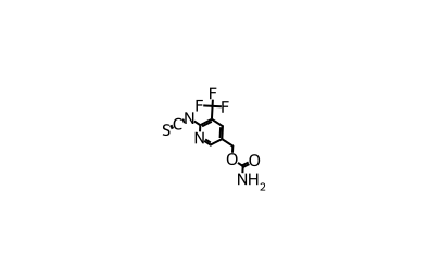 NC(=O)OCc1cnc(N=C=S)c(C(F)(F)F)c1